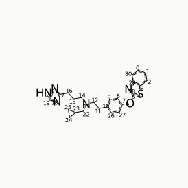 c1ccc2sc(Oc3ccc(CCN(CCCc4nc[nH]n4)CC4CC4)cc3)nc2c1